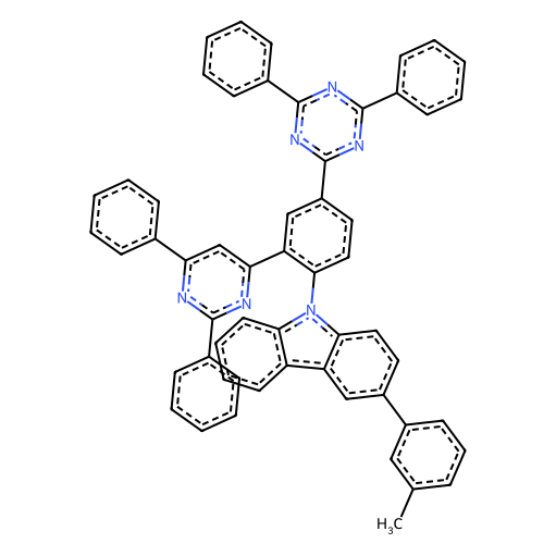 Cc1cccc(-c2ccc3c(c2)c2ccccc2n3-c2ccc(-c3nc(-c4ccccc4)nc(-c4ccccc4)n3)cc2-c2cc(-c3ccccc3)nc(-c3ccccc3)n2)c1